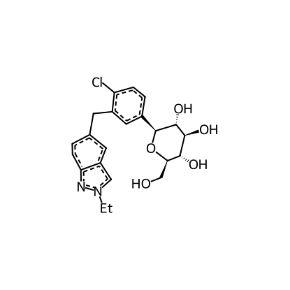 CCn1cc2cc(Cc3cc([C@@H]4O[C@H](CO)[C@@H](O)[C@H](O)[C@H]4O)ccc3Cl)ccc2n1